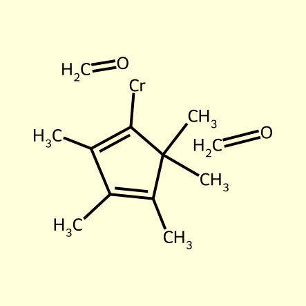 C=O.C=O.CC1=C(C)C(C)(C)[C]([Cr])=C1C